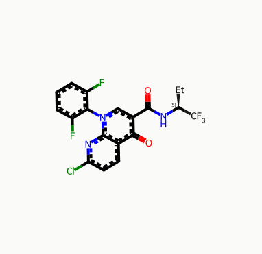 CC[C@H](NC(=O)c1cn(-c2c(F)cccc2F)c2nc(Cl)ccc2c1=O)C(F)(F)F